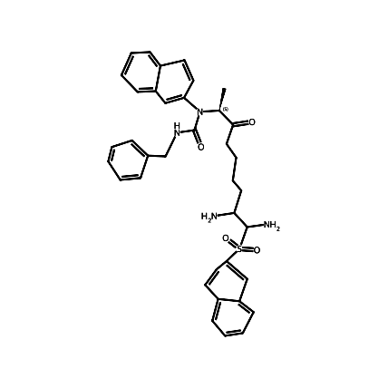 C[C@@H](C(=O)CCCCC(N)C(N)S(=O)(=O)c1ccc2ccccc2c1)N(C(=O)NCc1ccccc1)c1ccc2ccccc2c1